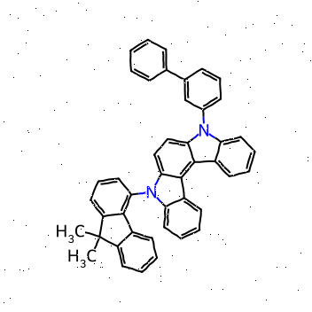 CC1(C)c2ccccc2-c2c(-n3c4ccccc4c4c5c6ccccc6n(-c6cccc(-c7ccccc7)c6)c5ccc43)cccc21